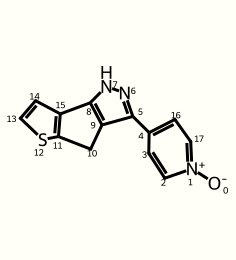 [O-][n+]1ccc(-c2n[nH]c3c2Cc2sccc2-3)cc1